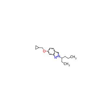 CCCC(CC)n1cc2ccc(OCC3CC3)cc2n1